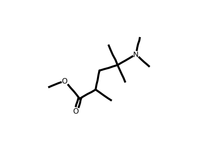 COC(=O)C(C)CC(C)(C)N(C)C